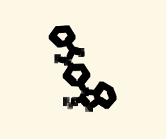 FN(C(=S)c1ccccc1)c1ccc(-n2c(C(F)(F)F)nc3ccccc32)cc1